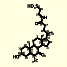 CC[C@H]1C(=O)C2C(CC[C@@]3(C)C2CC[C@@H]3[C@H](C)CCC(=O)NCCS(=O)(=O)O)[C@@]2(C)CC[C@@H](O)CC12